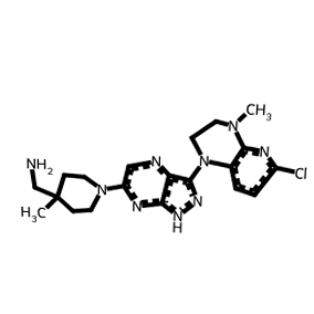 CN1CCN(c2n[nH]c3nc(N4CCC(C)(CN)CC4)cnc23)c2ccc(Cl)nc21